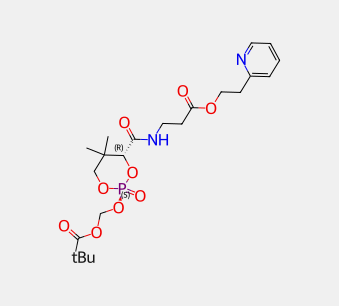 CC(C)(C)C(=O)OCO[P@@]1(=O)OCC(C)(C)[C@H](C(=O)NCCC(=O)OCCc2ccccn2)O1